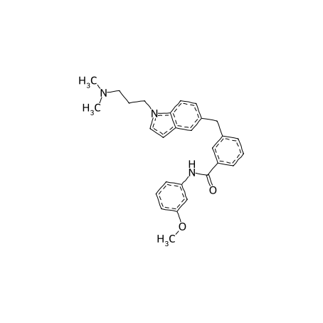 COc1cccc(NC(=O)c2cccc(Cc3ccc4c(ccn4CCCN(C)C)c3)c2)c1